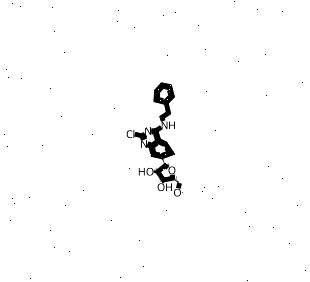 [O]C[C@H]1O[C@@H](c2ccc3c(NCCc4ccccc4)nc(Cl)nc3c2)[C@H](O)[C@@H]1O